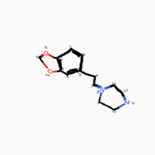 c1cc2c(cc1CCN1CC[N]CC1)OCO2